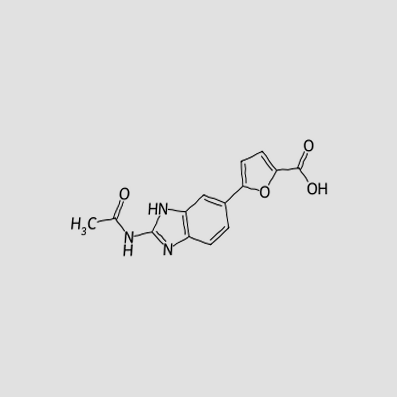 CC(=O)Nc1nc2ccc(-c3ccc(C(=O)O)o3)cc2[nH]1